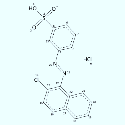 Cl.O=S(=O)(O)c1cccc(N=Nc2c(Cl)ccc3ccccc23)c1